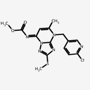 COC(=O)/N=c1\cc(C)n(Cc2ccc(Cl)nc2)c2nc(SC)nn12